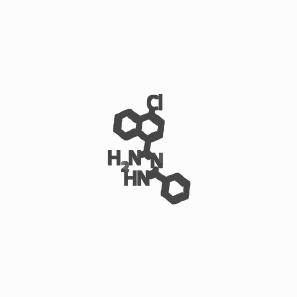 N=C(/N=C(\N)c1ccc(Cl)c2ccccc12)c1ccccc1